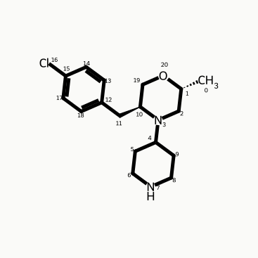 C[C@@H]1CN(C2CCNCC2)[C@@H](Cc2ccc(Cl)cc2)CO1